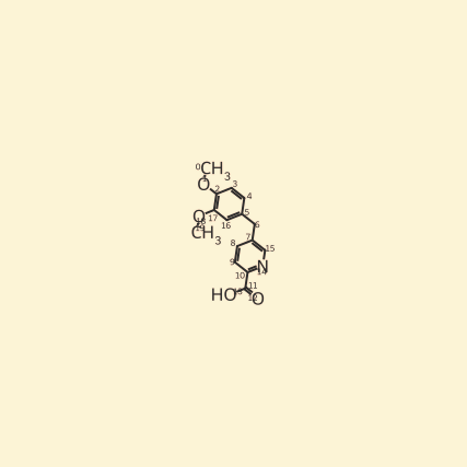 COc1ccc(Cc2ccc(C(=O)O)nc2)cc1OC